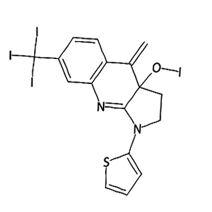 C=C1c2ccc(C(I)(I)I)cc2N=C2N(c3cccs3)CCC12OI